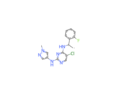 [CH2][C](Nc1nc(Nc2cnn(C)c2)ncc1Cl)c1ccccc1F